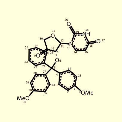 COc1ccc(C(O[C@@H]2C(=O)CO[C@H]2n2ccc(=O)[nH]c2=O)(c2ccccc2)c2ccc(OC)cc2)cc1